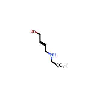 O=C(O)CNCC=CCBr